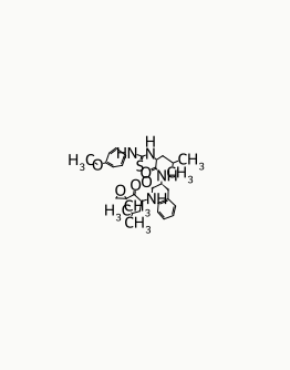 COc1ccc(NC(=S)NC(CC(C)C)C(=O)N[C@@H](Cc2ccccc2)C(=O)NC(CC(C)C)C(=O)[C@@]2(C)CO2)cc1